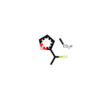 CC(=O)O.CC(S)c1ccco1